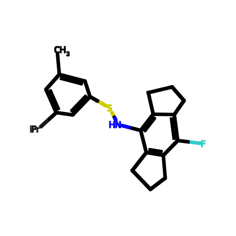 Cc1cc(SNc2c3c(c(F)c4c2CCC4)CCC3)cc(C(C)C)c1